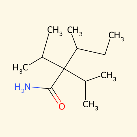 CCC(C)C(C(N)=O)(C(C)C)C(C)C